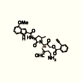 C#Cc1ccccc1C(=O)OCC(=O)[C@H](C[C@@H](C=O)CCN)N1C(=O)[C@@H](NC(=O)c2cc3c(OC)cccc3[nH]2)CC1C